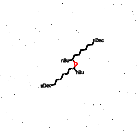 CCCCCCCCCCCCCCCCC(CCCC)OC(CCCC)CCCCCCCCCCCCCCCC